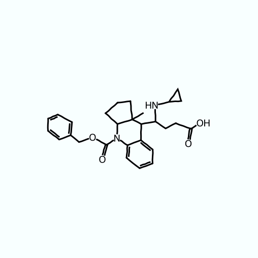 CC12CCCC1N(C(=O)OCc1ccccc1)c1ccccc1C2C(CCC(=O)O)NC1CC1